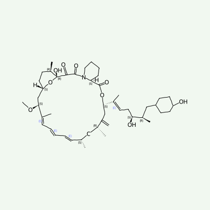 C=C1C[C@@H](/C(C)=C/C[C@H](O)[C@H](C)CC2CCC(O)CC2)OC(=O)[C@@H]2CCCCN2C(=O)C(=O)[C@]2(O)O[C@@H](CC[C@H]2C)C[C@H](OC)/C(C)=C/C=C/C=C/[C@@H](C)C[C@H]1C